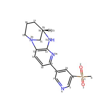 CS(=O)(=O)c1cncc(-c2ccc3c(n2)N[C@H]2CCCN3C2)c1